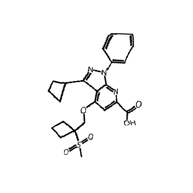 CS(=O)(=O)C1(COc2cc(C(=O)O)nc3c2c(C2CCC2)nn3-c2ccccc2)CCC1